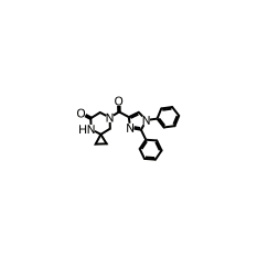 O=C1CN(C(=O)c2cn(-c3ccccc3)c(-c3ccccc3)n2)CC2(CC2)N1